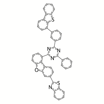 c1ccc(-c2nc(-c3cccc(-c4cccc5c4sc4ccccc45)c3)nc(-c3cccc4oc5cc(-c6nc7ccccc7s6)ccc5c34)n2)cc1